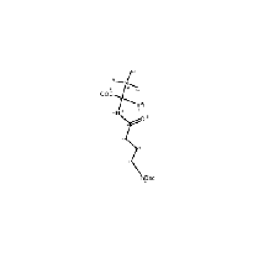 CCCCCCCCCCCCCC(=O)NC(CCC)(C(=O)[O-])[N+](C)(C)C